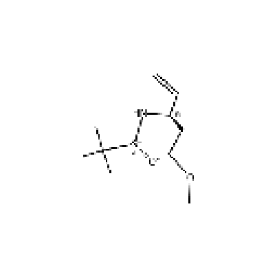 C=C[C@@H](CCOC)N[S@+]([O-])C(C)(C)C